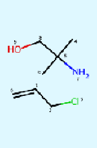 C=CCCl.CC(C)(N)CO